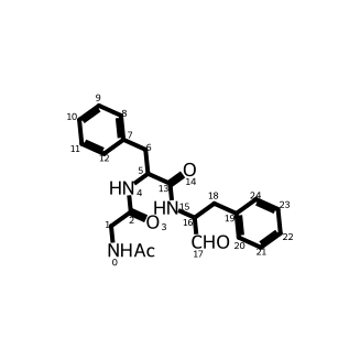 CC(=O)NCC(=O)NC(Cc1ccccc1)C(=O)NC(C=O)Cc1ccccc1